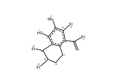 [C]=C(CC)c1c2c(c(O)c(C(C)(C)C)c1CC)C(CC)C(CC)CC2